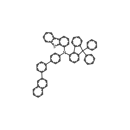 c1ccc(C2(c3ccccc3)c3ccccc3-c3c(N(c4ccc(-c5cccc(-c6ccc7ccccc7c6)c5)cc4)c4cccc5c4sc4ccccc45)cccc32)cc1